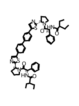 CCC(CC)C(=O)N[C@H](C(=O)N1CCC[C@H]1c1ncc(-c2ccc(-c3ccc(-c4cnc([C@@H]5CCCN5C(=O)[C@H](NC(=O)C(CC)CC)c5ccccc5)s4)cc3)cc2)s1)c1ccccc1